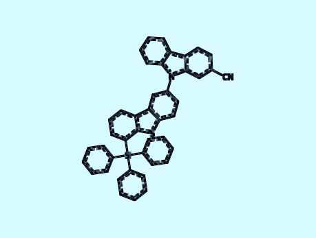 N#Cc1ccc2c3ccccc3n(-c3ccc4sc5c([Si](c6ccccc6)(c6ccccc6)c6ccccc6)cccc5c4c3)c2c1